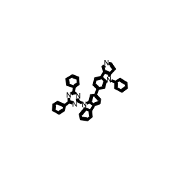 c1ccc(-c2nc(-c3ccccc3)nc(-n3c4ccccc4c4ccc(-c5ccc6c7cnccc7n(-c7ccccc7)c6c5)cc43)n2)cc1